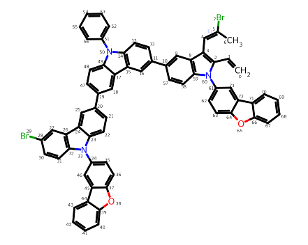 C=Cc1c(/C=C(\C)Br)c2cc(-c3ccc4c(c3)c3cc(-c5ccc6c(c5)c5cc(Br)ccc5n6-c5ccc6oc7ccccc7c6c5)ccc3n4-c3ccccc3)ccc2n1-c1ccc2oc3ccccc3c2c1